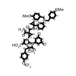 COc1ccc(CN(Cc2ccc(OC)cc2)c2cccc(C3(NC(=O)C4(C(N)=O)CC4N4C=C(C(=O)O)N5C4N(c4cc(Cl)cc(Cl)c4)C(=O)[C@@]5(C)Cc4ccc(OC(F)(F)F)cc4)CC3)n2)cc1